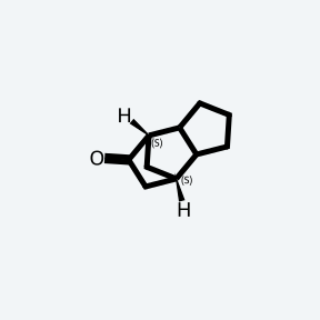 O=C1C[C@@H]2C[C@H]1C1CCCC12